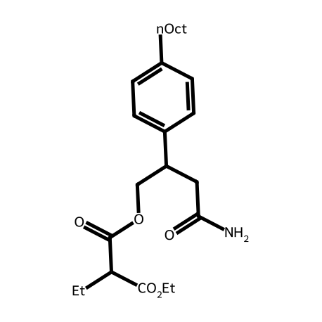 CCCCCCCCc1ccc(C(COC(=O)C(CC)C(=O)OCC)CC(N)=O)cc1